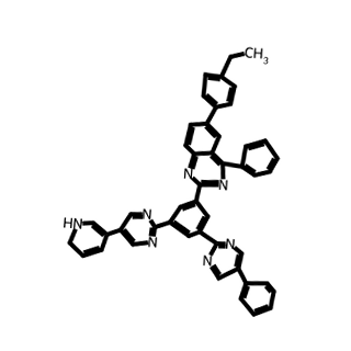 CCc1ccc(-c2ccc3nc(-c4cc(-c5ncc(C6=CNCC=C6)cn5)cc(-c5ncc(-c6ccccc6)cn5)c4)nc(-c4ccccc4)c3c2)cc1